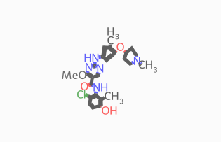 COc1nc(Nc2ccc(OC3CCN(C)CC3)c(C)c2)ncc1C(=O)Nc1c(Cl)ccc(O)c1C